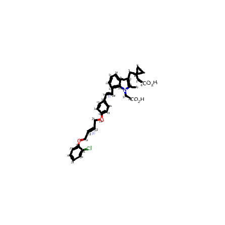 Cc1c(CC2(CC(=O)O)CC2)c2cccc(/C=C/c3ccc(OC/C=C/COc4ccccc4Cl)cc3)c2n1CC(=O)O